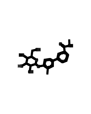 CNC(=O)c1cccc(-c2ccc(OC3OC(CO)C(O)C(O)C3O)c(C)c2)c1